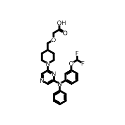 O=C(O)COCC1CCN(c2cncc(N(c3ccccc3)c3cccc(OC(F)F)c3)n2)CC1